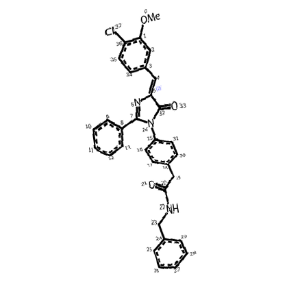 COc1cc(/C=C2\N=C(c3ccccc3)N(c3ccc(CC(=O)NCc4ccccc4)cc3)C2=O)ccc1Cl